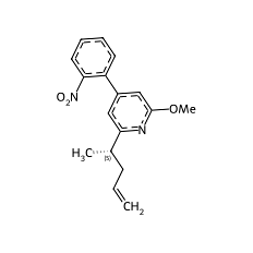 C=CC[C@H](C)c1cc(-c2ccccc2[N+](=O)[O-])cc(OC)n1